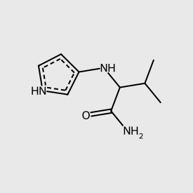 CC(C)C(Nc1cc[nH]c1)C(N)=O